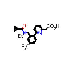 CCN(Cc1cc(C(F)(F)F)ccc1-c1cccc(CC(=O)O)n1)C(=O)C1CC1